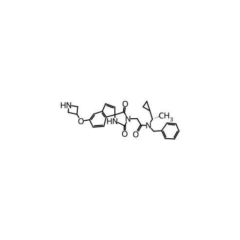 C[C@@H](C1CC1)N(Cc1ccccc1)C(=O)CN1C(=O)NC2(C=Cc3cc(OC4CNC4)ccc32)C1=O